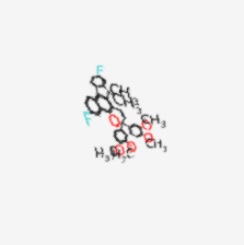 COc1ccc(C2(c3ccc(OC)c(OC)c3)C=Cc3c4c(c5ccc(F)cc5c3O2)-c2ccc(F)cc2C4(C)C)cc1OC